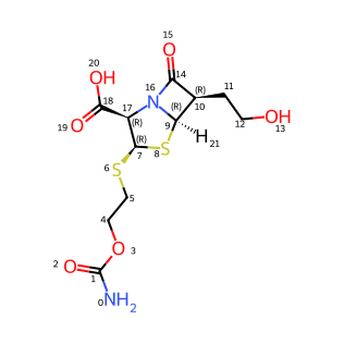 NC(=O)OCCS[C@@H]1S[C@@H]2[C@H](CCO)C(=O)N2[C@@H]1C(=O)O